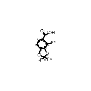 O=C(O)c1ccc2c(c1F)OC(F)(F)O2